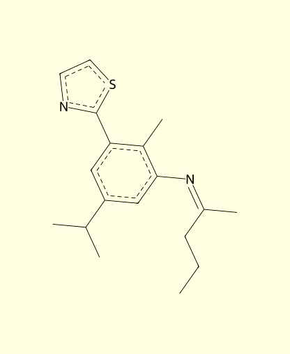 CCC/C(C)=N\c1cc(C(C)C)cc(-c2nccs2)c1C